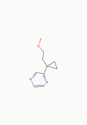 COCCC1(c2cnccn2)CC1